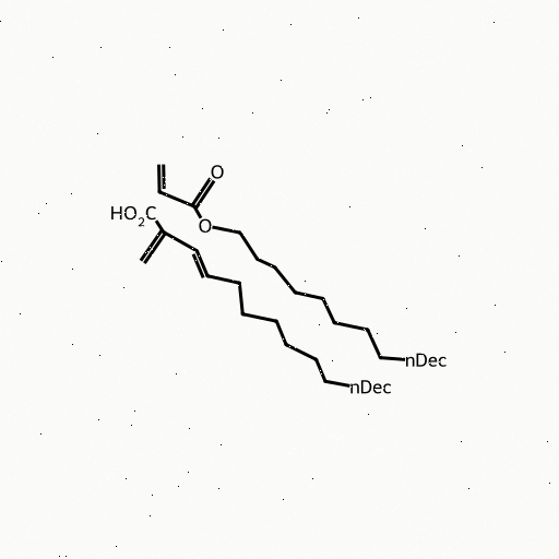 C=C(C=CCCCCCCCCCCCCCCCC)C(=O)O.C=CC(=O)OCCCCCCCCCCCCCCCCCC